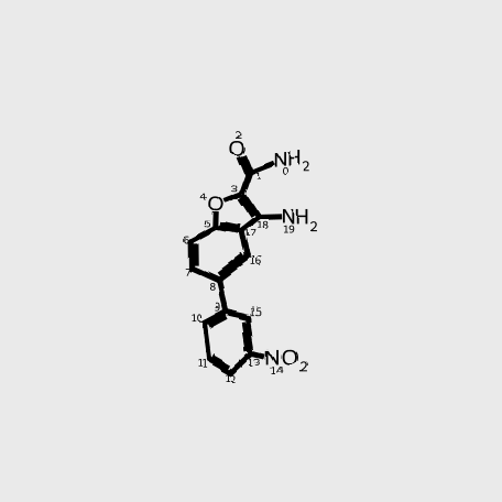 NC(=O)c1oc2ccc(-c3cccc([N+](=O)[O-])c3)cc2c1N